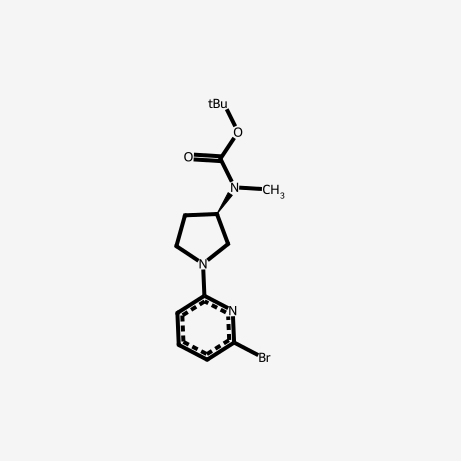 CN(C(=O)OC(C)(C)C)[C@@H]1CCN(c2cccc(Br)n2)C1